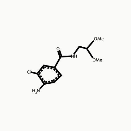 COC(CNC(=O)c1ccc(N)c(Cl)c1)OC